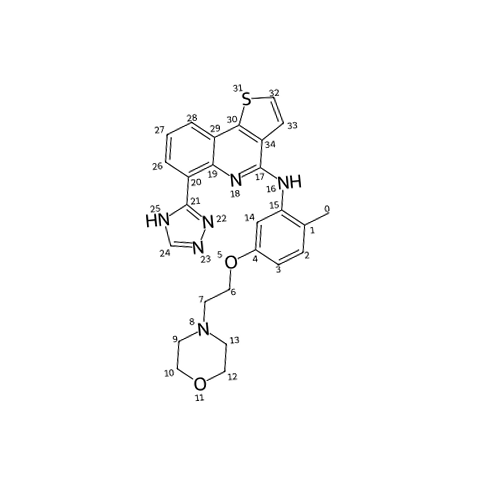 Cc1ccc(OCCN2CCOCC2)cc1Nc1nc2c(-c3nnc[nH]3)cccc2c2sccc12